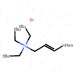 CCCCCCC=CC[N+](CC(C)(C)C)(CC(C)(C)C)CC(C)(C)C.[Br-]